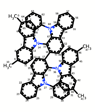 Cc1ccc2c(c1)c1cc(C)ccc1n2-c1c(-c2ccc3c4ccccc4n(-c4ccccc4)c3c2-n2c3ccc(C)cc3c3cc(C)ccc32)ccc2c3ccccc3n(-c3ccccc3)c12